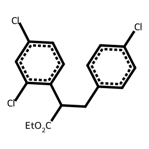 CCOC(=O)C(Cc1ccc(Cl)cc1)c1ccc(Cl)cc1Cl